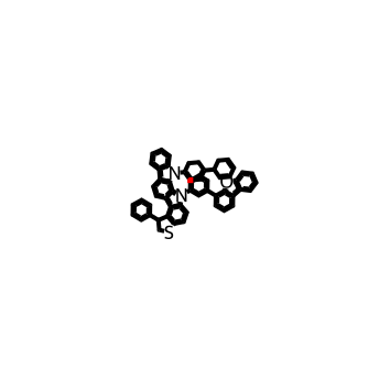 C1=CCC(C2=CC=C(n3c4ccccc4c4ccc5c6c7c(ccc6n(-c6cccc(-c8cccc9c8oc8ccccc89)c6)c5c43)SCC7c3ccccc3)CC2)C=C1